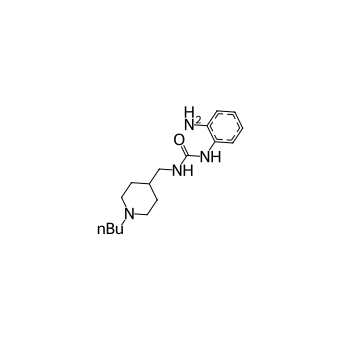 CCCCN1CCC(CNC(=O)Nc2ccccc2N)CC1